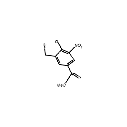 COC(=O)c1cc(CBr)c(Cl)c([N+](=O)[O-])c1